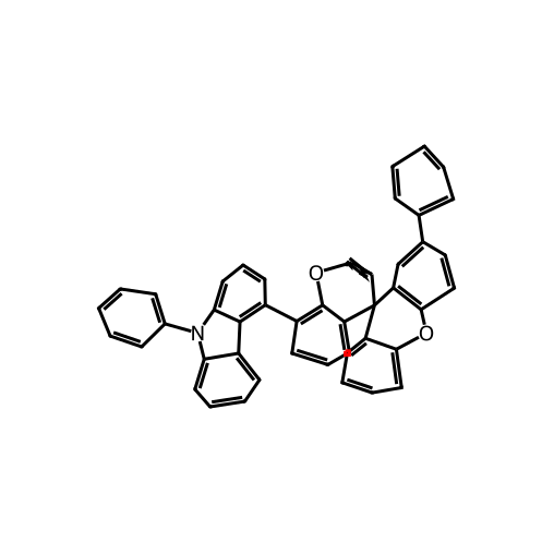 c1ccc(-c2ccc3c(c2)C2(c4ccccc4O3)c3ccccc3Oc3c(-c4cccc5c4c4ccccc4n5-c4ccccc4)cccc32)cc1